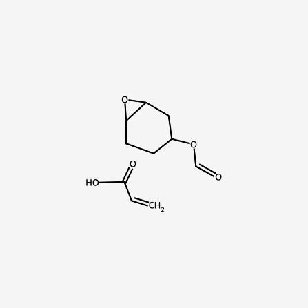 C=CC(=O)O.O=COC1CCC2OC2C1